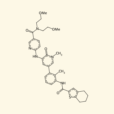 COCCN(CCOC)C(=O)c1ccc(Nc2cc(-c3cccc(NC(=O)c4cc5c(s4)CCCC5)c3C)cn(C)c2=O)nc1